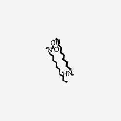 CCCCCCCCCCN(C)C(=O)O.CCCCCCCCCCNC